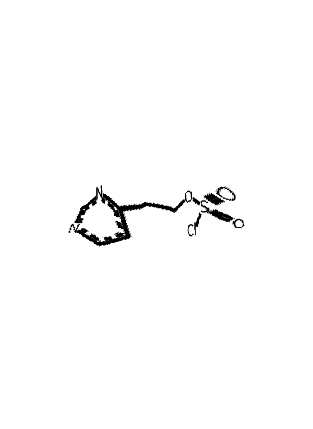 O=S(=O)(Cl)OCCc1ccncn1